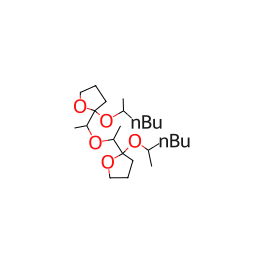 CCCCC(C)OC1(C(C)OC(C)C2(OC(C)CCCC)CCCO2)CCCO1